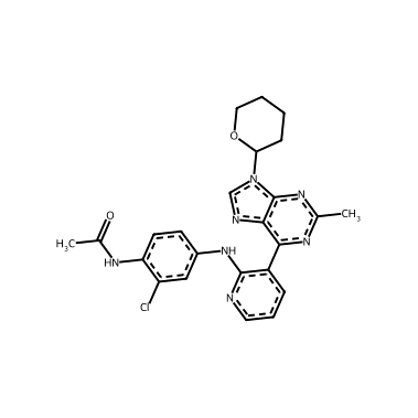 CC(=O)Nc1ccc(Nc2ncccc2-c2nc(C)nc3c2ncn3C2CCCCO2)cc1Cl